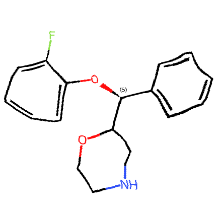 Fc1ccccc1O[C@@H](c1ccccc1)C1CNCCO1